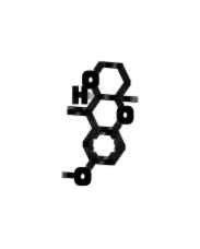 C=C1c2cc(OC)ccc2OC2(C)CCCO[C@H]12